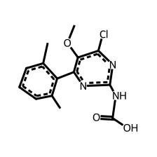 COc1c(Cl)nc(NC(=O)O)nc1-c1c(C)cccc1C